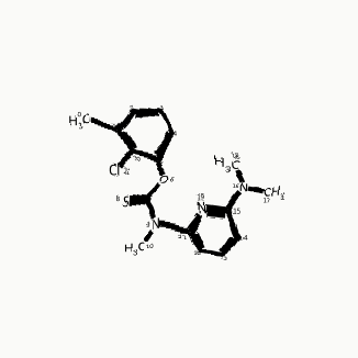 Cc1cccc(OC(=S)N(C)c2cccc(N(C)C)n2)c1Cl